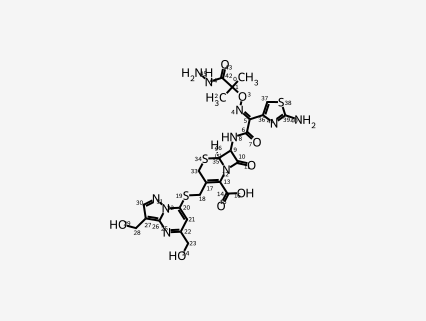 CC(C)(ON=C(C(=O)NC1C(=O)N2C(C(=O)O)=C(CSc3cc(CO)nc4c(CO)cnn34)CS[C@@H]12)c1csc(N)n1)C(=O)NN